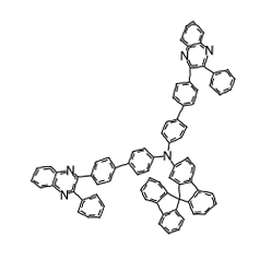 c1ccc(-c2nc3ccccc3nc2-c2ccc(-c3ccc(N(c4ccc(-c5ccc(-c6nc7ccccc7nc6-c6ccccc6)cc5)cc4)c4ccc5c(c4)C4(c6ccccc6-c6ccccc64)c4ccccc4-5)cc3)cc2)cc1